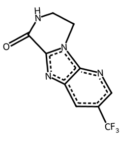 O=C1NCCn2c1nc1cc(C(F)(F)F)cnc12